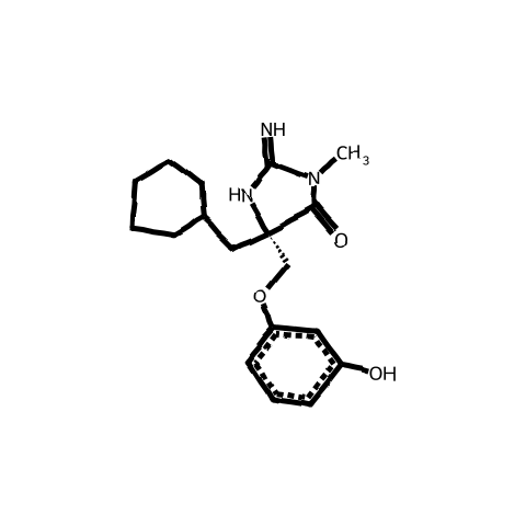 CN1C(=N)N[C@](COc2cccc(O)c2)(CC2CCCCC2)C1=O